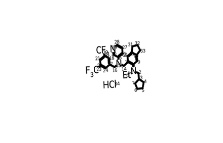 CCN(CC1CCCC1)c1cc2c(cc1CN(Cc1cc(C(F)(F)F)cc(C(F)(F)F)c1)c1cccnc1)CCC2.Cl